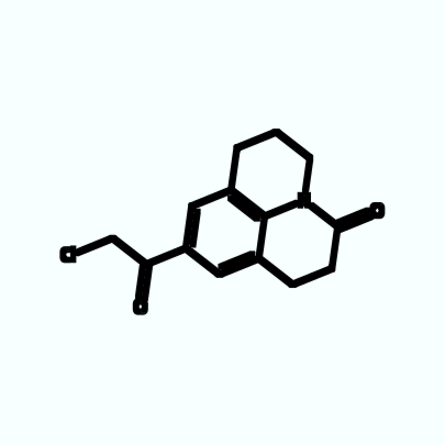 O=C(CCl)c1cc2c3c(c1)CCC(=O)N3CCC2